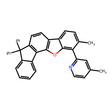 Cc1ccnc(-c2c(C)ccc3c2oc2c4c(ccc23)C(C(C)C)(C(C)C)c2ccccc2-4)c1